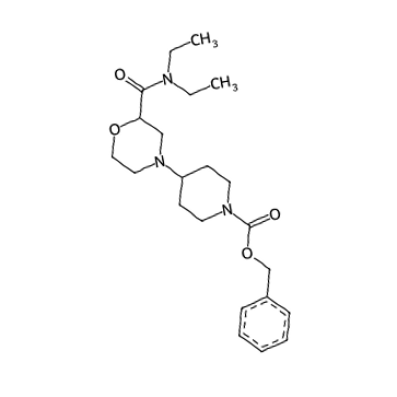 CCN(CC)C(=O)C1CN(C2CCN(C(=O)OCc3ccccc3)CC2)CCO1